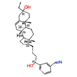 CC[C@]1(O)CC[C@@]2(C)C(=CC[C@H]3[C@@H]4CC[C@H](CCC[C@H](O)c5cccc(C#N)c5)[C@@]4(C)CC[C@@H]32)C1